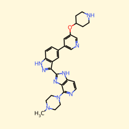 CN1CCN(c2nccc3[nH]c(-c4n[nH]c5ccc(-c6cncc(OC7CCNCC7)c6)cc45)nc23)CC1